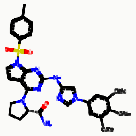 COc1cc(-n2cnc(Nc3nc(N4CCC[C@H]4C(N)=O)c4ccn(S(=O)(=O)c5ccc(C)cc5)c4n3)c2)cc(OC)c1OC